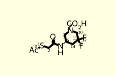 CC(=O)SCC(=O)N[C@@H]1CN(C(=O)O)CC(F)(F)C1